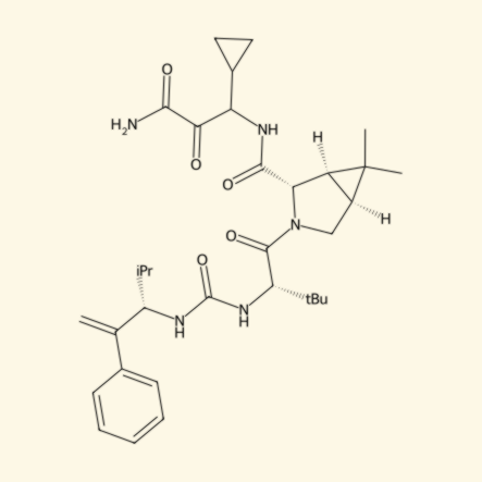 C=C(c1ccccc1)[C@@H](NC(=O)N[C@H](C(=O)N1C[C@H]2[C@@H]([C@H]1C(=O)NC(C(=O)C(N)=O)C1CC1)C2(C)C)C(C)(C)C)C(C)C